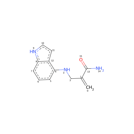 C=C(CNc1cccc2[nH]ccc12)C(N)=O